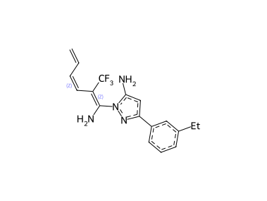 C=C/C=C\C(=C(/N)n1nc(-c2cccc(CC)c2)cc1N)C(F)(F)F